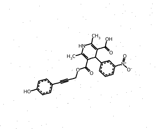 CC1=C(C(=O)O)C(c2cccc([N+](=O)[O-])c2)C(C(=O)OCC#Cc2ccc(O)cc2)=C(C)N1